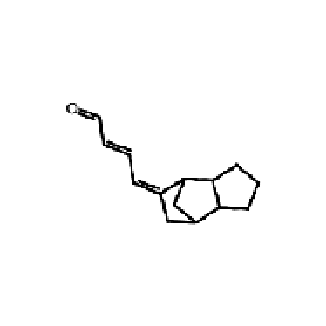 O=CC=CC=C1CC2CC1C1CCCC21